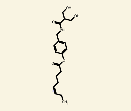 CC/C=C\CCCC(=O)Oc1ccc(CNC(=O)C(CO)CO)cc1